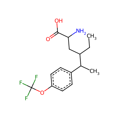 CCC(CC(N)C(=O)O)C(C)c1ccc(OC(F)(F)F)cc1